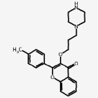 Cc1ccc(-c2oc3ccccc3c(=O)c2OCCCN2CCNCC2)cc1